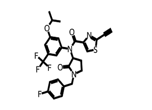 C#Cc1nc(C(=O)N(c2cc(OC(C)C)cc(C(F)(F)F)c2)C2CCN(Cc3ccc(F)cc3)C2=O)cs1